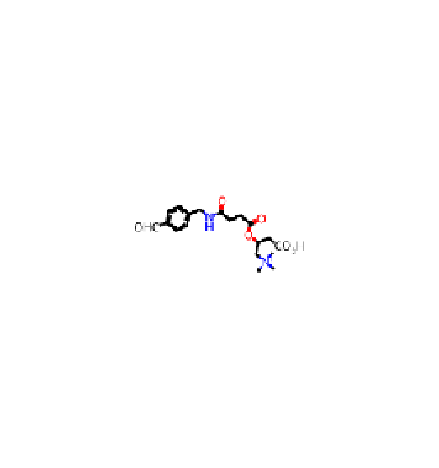 C[N+](C)(C)CC(CC(=O)O)OC(=O)CCC(=O)NCc1ccc(C=O)cc1